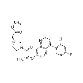 COC(=O)C[C@@H]1CCN(C(=O)[C@@H](C)Oc2ccc3c(-c4ccc(F)cc4Cl)ccnc3c2)C1